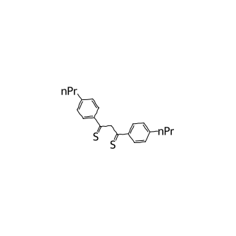 CCCc1ccc(C(=S)CC(=S)c2ccc(CCC)cc2)cc1